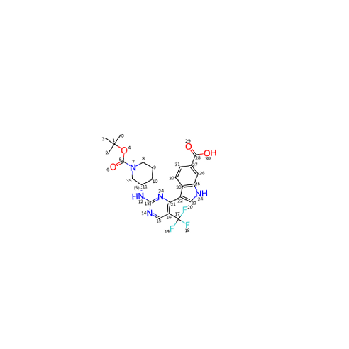 CC(C)(C)OC(=O)N1CCC[C@H](Nc2ncc(C(F)(F)F)c(-c3c[nH]c4cc(C(=O)O)ccc34)n2)C1